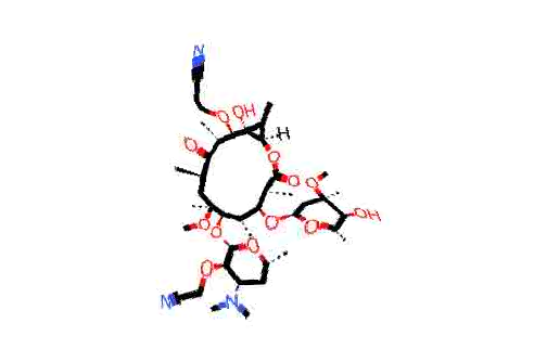 CO[C@]1(C)C[C@H](O[C@H]2[C@H](C)[C@@H](O[C@@H]3O[C@H](C)C[C@H](N(C)C)[C@H]3OCC#N)[C@@](C)(OC)C[C@@H](C)C(=O)[C@H](C)[C@@H](OCC#N)[C@@]3(O)C(C)[C@H]3OC(=O)[C@@H]2C)O[C@@H](C)[C@@H]1O